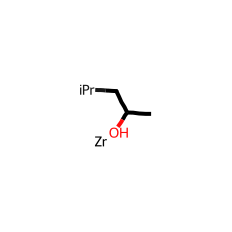 CC(C)CC(C)O.[Zr]